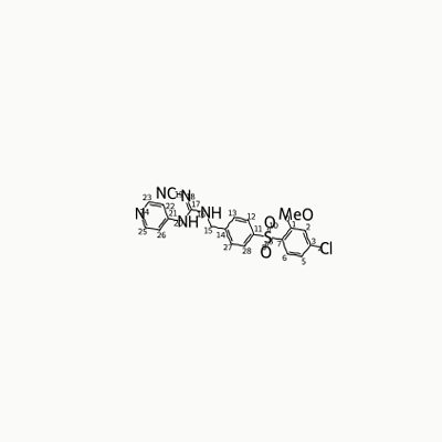 COc1cc(Cl)ccc1S(=O)(=O)c1ccc(CNC(=NC#N)Nc2ccncc2)cc1